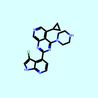 Clc1c[nH]c2nccc(-c3nc(N4CCNCC4)c4c(C5CC5)cncc4n3)c12